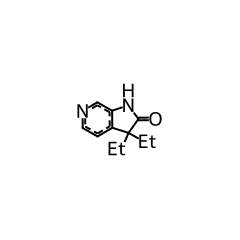 CCC1(CC)C(=O)Nc2cnccc21